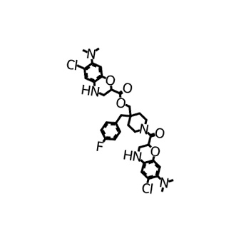 CN(C)c1cc2c(cc1Cl)NCC(C(=O)OCC1(Cc3ccc(F)cc3)CCN(C(=O)C3CNc4cc(Cl)c(N(C)C)cc4O3)CC1)O2